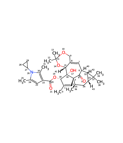 CC1=C[C@]23C(=O)[C@@H](C=C4COC(C)(C)O[C@H]4[C@]2(O)[C@H]1OC(=O)c1cc(C)n(C2CC2)c1C)[C@H]1[C@@H](C[C@H]3C)C1(C)C